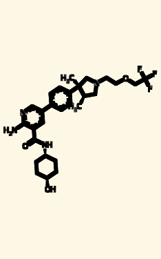 C[C@@H]1CN(CCOCC(F)(F)F)C[C@@]1(C)c1ccc(-c2cnc(N)c(C(=O)N[C@H]3CC[C@H](O)CC3)c2)cc1